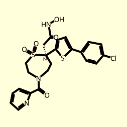 O=C(C[C@]1(c2ccc(-c3ccc(Cl)cc3)s2)CCN(C(=O)c2ccccn2)CCS1(=O)=O)NO